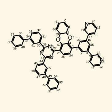 C1=CC2Oc3c(-c4cc(-c5cccnc5)cc(-c5cccnc5)c4)ccc(-c4nc(-c5cccc(-c6ccccc6)c5)nc(-c5cccc(-c6ccccc6)c5)n4)c3OC2C=C1